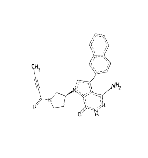 CC#CC(=O)N1CC[C@H](n2cc(-c3ccc4ccccc4c3)c3c(N)n[nH]c(=O)c32)C1